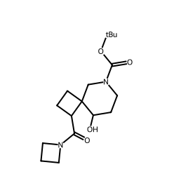 CC(C)(C)OC(=O)N1CCC(O)C2(CCC2C(=O)N2CCC2)C1